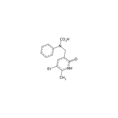 CCc1cc(CN(C(=O)O)c2ccccc2)c(=O)[nH]c1C